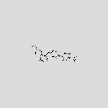 C[C@H]1CC[C@@H](C(=O)O)CN1C(=O)Cc1ccc(-c2ccc(C3CC3)nc2)cc1